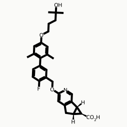 Cc1cc(OCCCC(C)(C)O)cc(C)c1-c1ccc(F)c(COc2cc3c(cn2)[C@H]2[C@@H](C3)[C@@H]2C(=O)O)c1